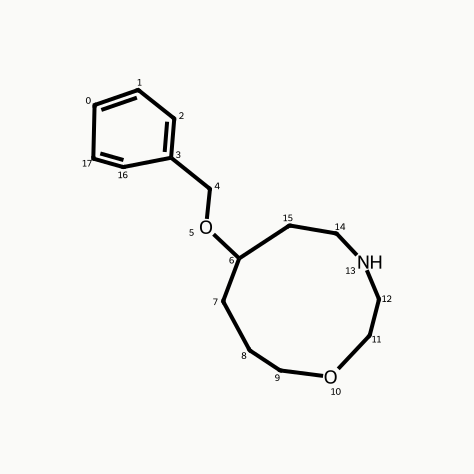 c1ccc(COC2CCCOCCNCC2)cc1